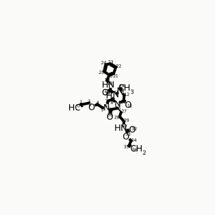 C#CCOCCN1C[C@H]2N(C(=O)CN(C)N2C(=O)NCc2ccccc2)[C@@H](CCCNC(=O)OCC=C)C1=O